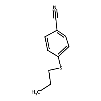 CCCSc1ccc(C#N)cc1